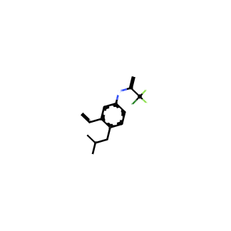 C=Cc1cc(NC(=C)C(F)(F)Cl)ccc1CC(C)C